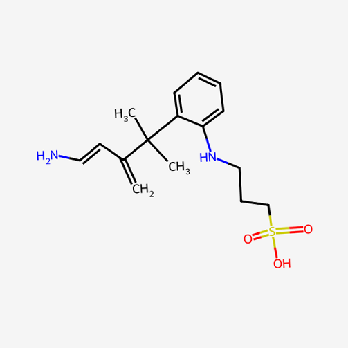 C=C(/C=C/N)C(C)(C)c1ccccc1NCCCS(=O)(=O)O